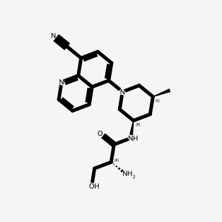 C[C@H]1C[C@@H](NC(=O)[C@H](N)CO)CN(c2ccc(C#N)c3ncccc23)C1